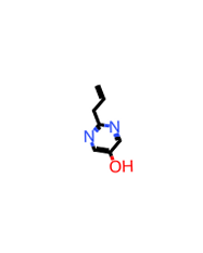 C=CCc1ncc(O)cn1